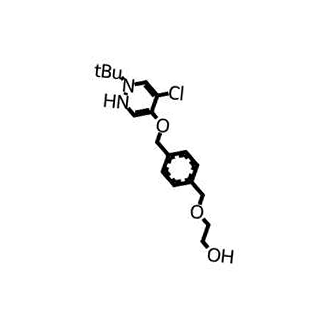 CC(C)(C)N1C=C(Cl)C(OCc2ccc(COCCO)cc2)=CN1